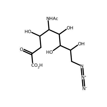 CC(=O)NC(C(O)CC(=O)C(=O)O)C(O)C(O)C(O)CN=[N+]=[N-]